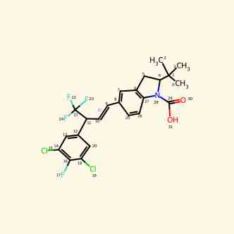 CC(C)(C)C1Cc2cc(/C=C/C(c3cc(Cl)c(F)c(Cl)c3)C(F)(F)F)ccc2N1C(=O)O